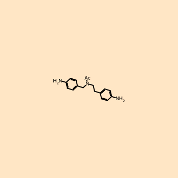 CC(=O)N(CCc1ccc(N)cc1)Cc1ccc(N)cc1